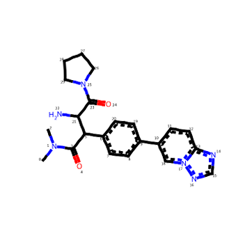 CN(C)C(=O)C(c1ccc(-c2ccc3ncnn3c2)cc1)C(N)C(=O)N1CCCC1